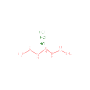 BBBBBBB.Cl.Cl.Cl